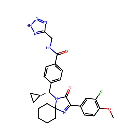 COc1ccc(C2=NC3(CCCCC3)N([C@@H](c3ccc(C(=O)NCc4nn[nH]n4)cc3)C3CC3)C2=O)cc1Cl